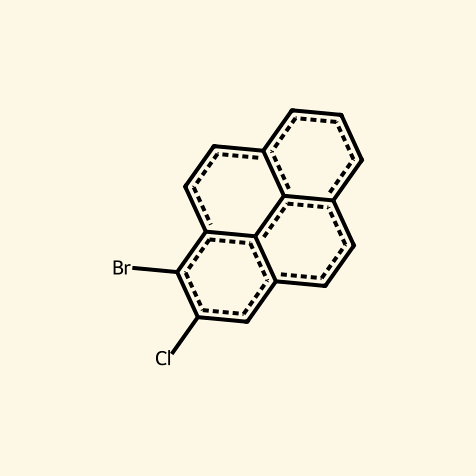 Clc1cc2ccc3cccc4ccc(c1Br)c2c34